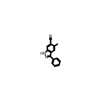 Cc1cc2c(-c3ccccc3)n[nH]c2cc1C#N